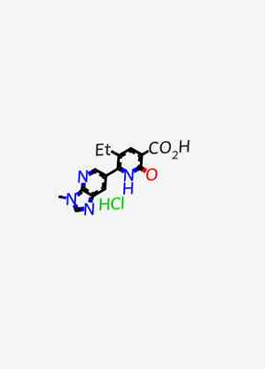 CCc1cc(C(=O)O)c(=O)[nH]c1-c1cnc2c(c1)ncn2C.Cl